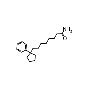 NC(=O)CCCCCCCC1(c2ccccc2)CCCC1